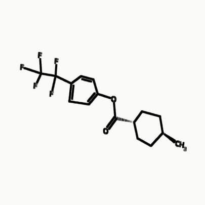 C[C@H]1CC[C@H](C(=O)Oc2ccc(C(F)(F)C(F)(F)F)cc2)CC1